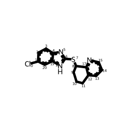 Clc1ccc2nc(SC3CCCc4cccnc43)[nH]c2c1